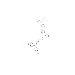 CC(C)(C)c1ccc(N(c2ccc(-c3ccc(-n4c5ccccc5c5cc(-c6ccc7c(c6)c6ccccc6n7-c6ccccc6)ccc54)cc3)cc2)c2ccc(C(C)(C)C)cc2)cc1